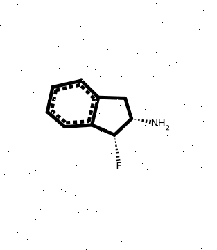 N[C@H]1Cc2ccccc2[C@H]1F